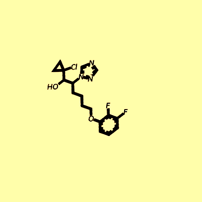 OC(C(CCCCOc1cccc(F)c1F)n1cncn1)C1(Cl)CC1